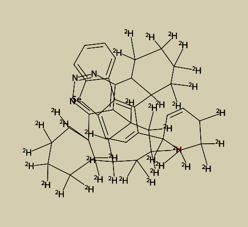 [2H]C1C=CC([2H])(c2ccc3[se]c4ccccc4c3c2C2([2H])C(c3nnnc(C4([2H])C([2H])C([2H])([2H])C([2H])([2H])C([2H])([2H])C4([2H])[2H])c3C3([2H])C([2H])C([2H])([2H])C([2H])([2H])C([2H])([2H])C3([2H])[2H])C([2H])([2H])C([2H])([2H])C([2H])([2H])C2([2H])[2H])C([2H])([2H])C1([2H])[2H]